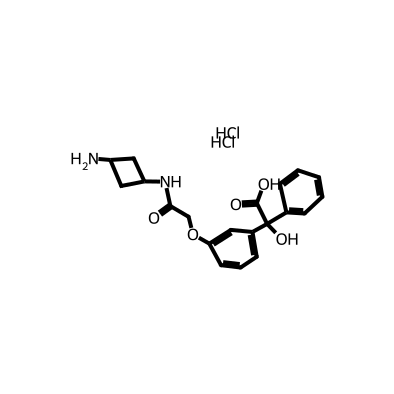 Cl.Cl.NC1CC(NC(=O)COc2cccc(C(O)(C(=O)O)c3ccccc3)c2)C1